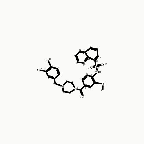 COc1cc(C(=O)N2CCN(Cc3ccc(Cl)c(Cl)c3)CC2)ccc1NS(=O)(=O)c1cccc2cccnc12